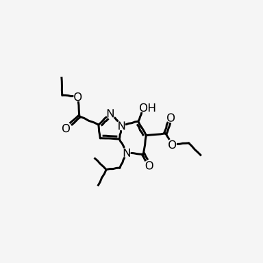 CCOC(=O)c1cc2n(CC(C)C)c(=O)c(C(=O)OCC)c(O)n2n1